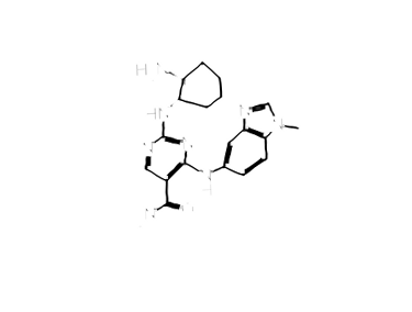 Cn1cnc2cc(Nc3nc(N[C@@H]4CCCC[C@@H]4N)ncc3C(N)=O)ccc21